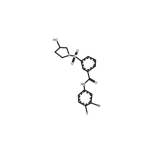 O=C(Nc1ccc(F)c(Br)c1)c1cccc(S(=O)(=O)N2CCC(O)C2)c1